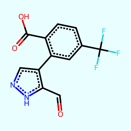 O=Cc1[nH]ncc1-c1cc(C(F)(F)F)ccc1C(=O)O